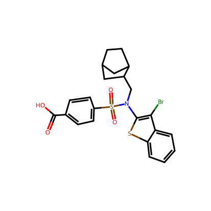 O=C(O)c1ccc(S(=O)(=O)N(CC2CC3CCC2C3)c2sc3ccccc3c2Br)cc1